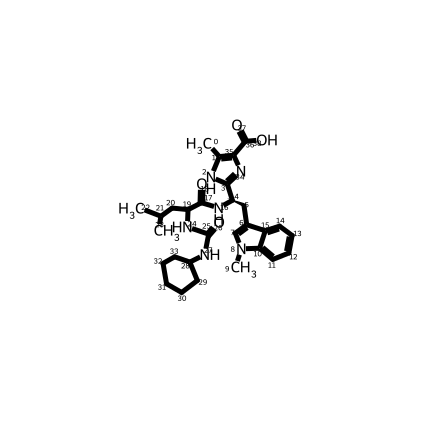 Cc1[nH]c([C@@H](Cc2cn(C)c3ccccc23)NC(=O)C(CC(C)C)NC(=O)NC2CCCCC2)nc1C(=O)O